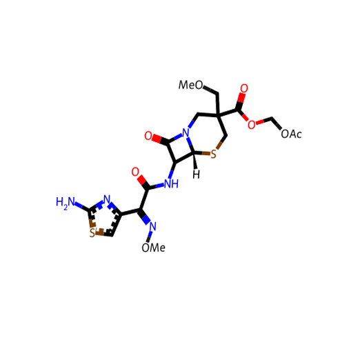 COCC1(C(=O)OCOC(C)=O)CS[C@@H]2C(NC(=O)C(=NOC)c3csc(N)n3)C(=O)N2C1